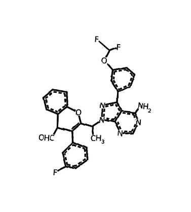 CC(C1=C(c2cccc(F)c2)C(C=O)c2ccccc2O1)n1nc(-c2cccc(OC(F)F)c2)c2c(N)ncnc21